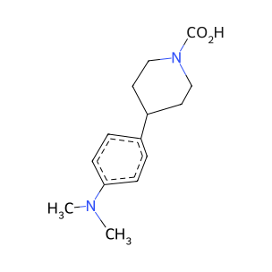 CN(C)c1ccc(C2CCN(C(=O)O)CC2)cc1